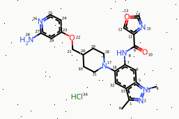 Cc1nn(C)c2cc(NC(=O)c3cocn3)c(N3CCC(COc4ccnc(N)c4)CC3)cc12.Cl